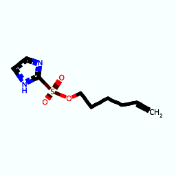 C=CCCCCOS(=O)(=O)c1ncc[nH]1